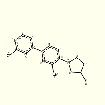 N#Cc1nc(-c2ccnc(Cl)n2)ccc1N1CCC(F)C1